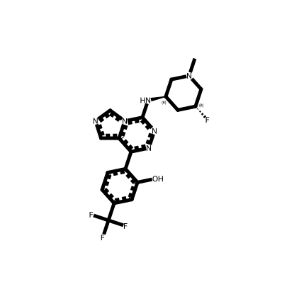 CN1C[C@H](F)C[C@@H](Nc2nnc(-c3ccc(C(F)(F)F)cc3O)c3cncn23)C1